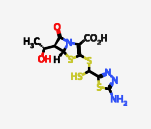 C[C@@H](O)[C@H]1C(=O)N2C(C(=O)O)=C(SC(S)c3nnc(N)s3)S[C@H]12